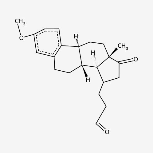 COc1ccc2c(c1)CC[C@@H]1[C@@H]2CC[C@]2(C)C(=O)CC(CCC=O)[C@@H]12